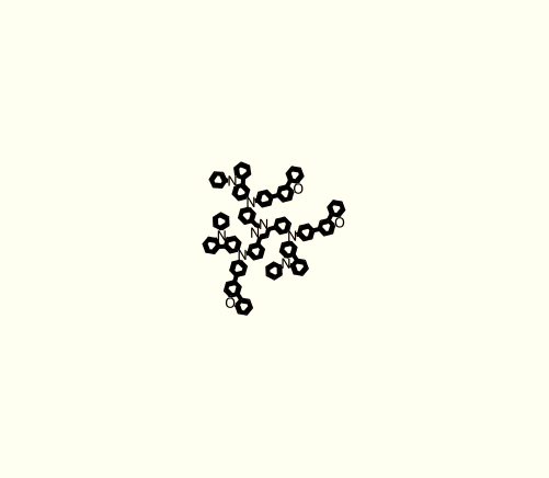 c1ccc(-n2c3ccccc3c3cc(N(c4ccc(-c5ccc6oc7ccccc7c6c5)cc4)c4cccc(-c5cc(-c6cccc(N(c7ccc(-c8ccc9oc%10ccccc%10c9c8)cc7)c7ccc8c(c7)c7ccccc7n8-c7ccccc7)c6)nc(-c6cccc(N(c7ccc(-c8ccc9oc%10ccccc%10c9c8)cc7)c7ccc8c(c7)c7ccccc7n8-c7ccccc7)c6)n5)c4)ccc32)cc1